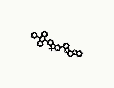 CC1(C)c2ccc(-c3cccc4c3sc3ccc5c6ccccc6sc5c34)cc2-c2ccc(-c3c4ccccc4c(-c4ccccc4)c4ccccc34)cc21